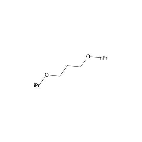 [CH2]C(C)OC[CH]COCCC